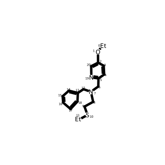 CCOc1ccc(CN(CCSCC)Cc2ccccc2)nc1